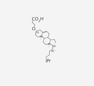 CC(C)CCC[C@@H](C)[C@H]1CCC2C3CC=C4C[C@@H](OCCC(=O)O)CC[C@]4(C)C3CC[C@@]21C